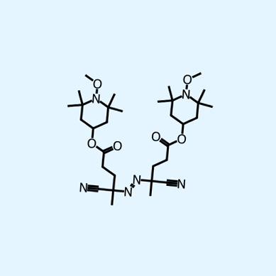 CON1C(C)(C)CC(OC(=O)CCC(C)(C#N)N=NC(C)(C#N)CCC(=O)OC2CC(C)(C)N(OC)C(C)(C)C2)CC1(C)C